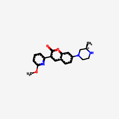 COc1cccc(-c2cc3ccc(N4CCN[C@H](C)C4)cc3oc2=O)n1